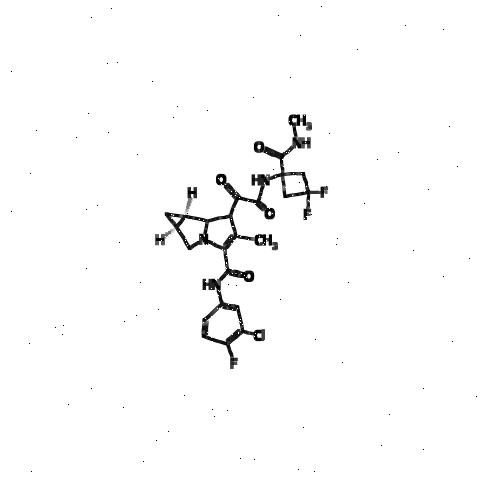 CNC(=O)C1(NC(=O)C(=O)C2C(C)=C(C(=O)Nc3ccc(F)c(Cl)c3)N3C[C@H]4C[C@H]4C23)CC(F)(F)C1